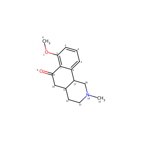 COc1cccc2c1C(=O)CC1CCN(C)CC21